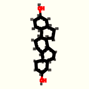 Oc1ccc2c(ccc3c2ccc2c4ccc(O)cc4ccc23)c1